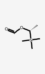 C[C@@H](O[C]=O)[Si](C)(C)C